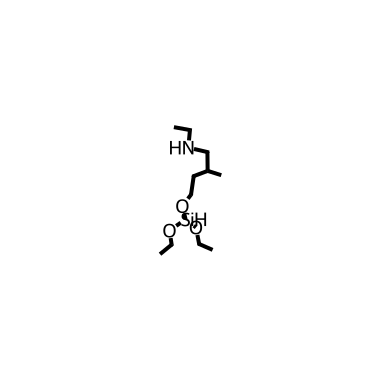 CCNCC(C)CCO[SiH](OCC)OCC